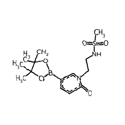 CC1(C)OB(c2ccc(=O)n(CCNS(C)(=O)=O)c2)OC1(C)C